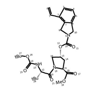 C=Cc1cccc2c1CN(C(=O)O[C@@H]1C[C@@H](C(=O)OC)N(C(=O)[C@@H](NC(=O)OC(C)(C)C)C(C)(C)C)C1)C2